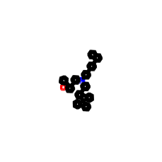 c1ccc(C2(c3ccccc3)c3ccccc3-c3c(-c4cccc(N(c5ccc(-c6ccc(-c7cccc8ccccc78)cc6)cc5)c5cccc(-c6cccc7oc8ccccc8c67)c5)c4)cccc32)cc1